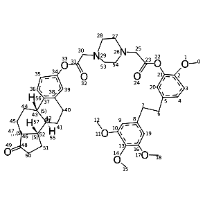 COc1ccc(CCc2cc(OC)c(OC)c(OC)c2)cc1OC(=O)CN1CCN(CC(=O)Oc2ccc3c(c2)CC[C@@H]2[C@@H]3CC[C@]3(C)C(=O)CC[C@@H]23)CC1